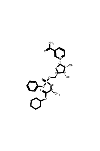 C[C@H](NP(=O)(OC[C@H]1O[C@H]([n+]2cccc(C(N)=O)c2)[C@H](O)[C@@H]1O)Oc1ccccc1)C(=O)OC1CCCCC1